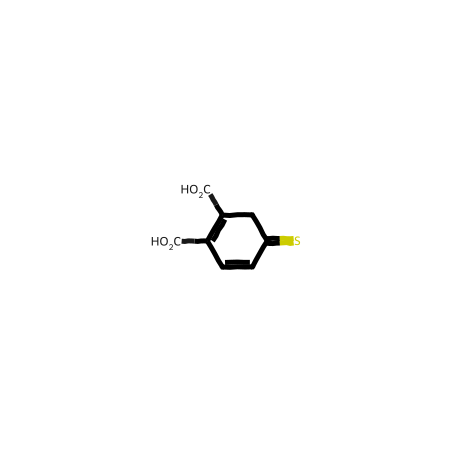 O=C(O)C1=C(C(=O)O)CC(=S)C=C1